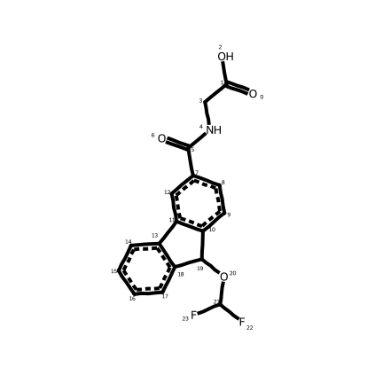 O=C(O)CNC(=O)c1ccc2c(c1)-c1ccccc1C2OC(F)F